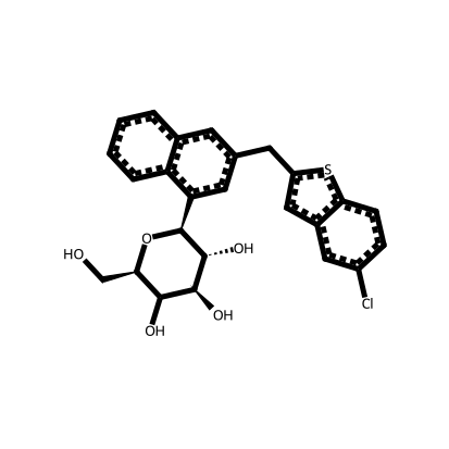 OC[C@H]1O[C@@H](c2cc(Cc3cc4cc(Cl)ccc4s3)cc3ccccc23)[C@H](O)[C@@H](O)C1O